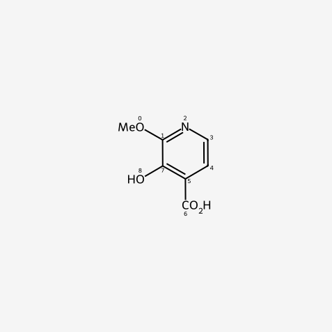 COc1nccc(C(=O)O)c1O